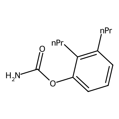 CCCc1cccc(OC(N)=O)c1CCC